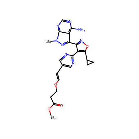 CC(C)(C)OC(=O)CCO/C=C/c1cnc(-c2c(-c3nn(C(C)(C)C)c4ncnc(N)c34)noc2C2CC2)nc1